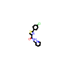 O=C(NCc1ccccn1)c1csc(-c2ccc(Cl)cc2)n1